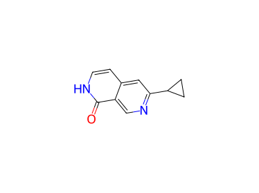 O=c1[nH]ccc2cc(C3CC3)ncc12